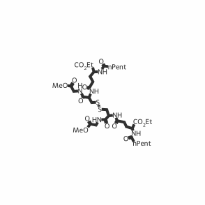 CCCCCC(=O)NC(CCC(=O)NC(CSSCC(NC(=O)CCC(NC(=O)CCCCC)C(=O)OCC)C(=O)NCC(=O)OC)C(=O)NCC(=O)OC)C(=O)OCC